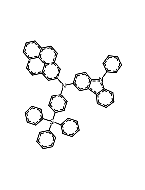 c1ccc(-n2c3ccccc3c3cc(N(c4ccc([Si](c5ccccc5)(c5ccccc5)c5ccccc5)cc4)c4cc5ccc6cccc7ccc(c4)c5c67)ccc32)cc1